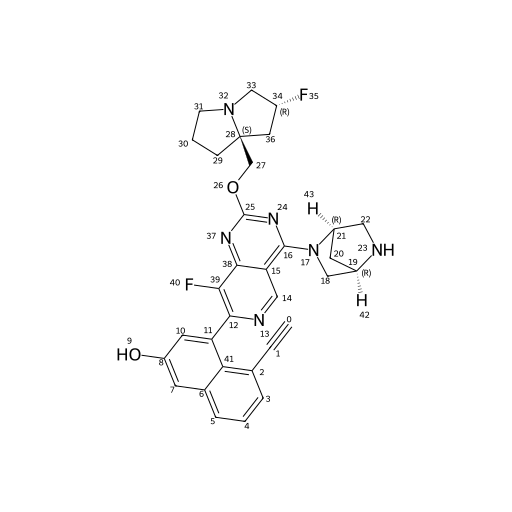 C#Cc1cccc2cc(O)cc(-c3ncc4c(N5C[C@H]6C[C@@H]5CN6)nc(OC[C@@]56CCCN5C[C@H](F)C6)nc4c3F)c12